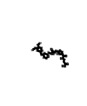 O=C(O)CCNC(=O)C1=CSC(SCC(=O)NC[C@H]2CN(Cc3ccc(CI)c(CI)c3)CCO2)N1